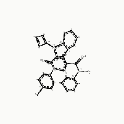 CCN(C(=O)c1nn(-c2ccc(C)cc2)c(=O)c2c1c1ccccc1n2C1=CC=C1)c1ccccc1